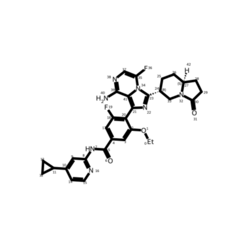 CCOc1cc(C(=O)Nc2cc(C3CC3)ccn2)cc(F)c1-c1nc([C@@H]2CC[C@H]3CCC(=O)N3C2)n2c(F)cnc(N)c12